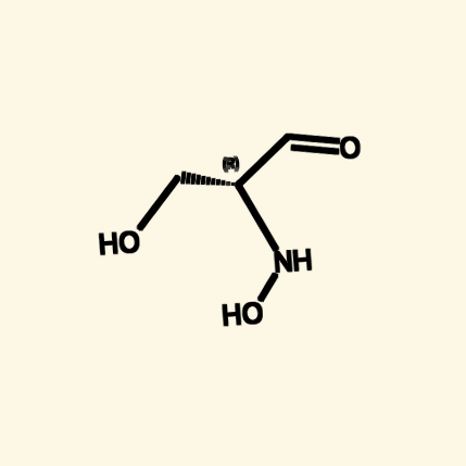 O=C[C@@H](CO)NO